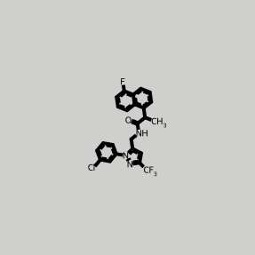 CC(C(=O)NCc1cc(C(F)(F)F)nn1-c1cccc(Cl)c1)c1cccc2c(F)cccc12